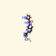 Cn1cc(-c2ccc3cnc(NC(=O)C4CCCNC4)cc3n2)cn1